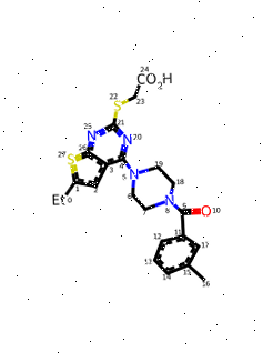 CCc1cc2c(N3CCN(C(=O)c4cccc(C)c4)CC3)nc(SCC(=O)O)nc2s1